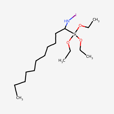 CCCCCCCCCCC(NI)[Si](OCC)(OCC)OCC